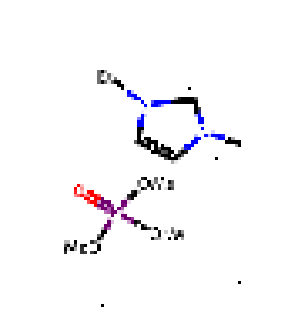 CCN1C=CN(C)C1.COP(=O)(OC)OC